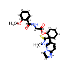 CNC(=S)C1(c2ccc3nccn3c2)CCCCC1OC(=O)CNC(=O)c1ccccc1OC